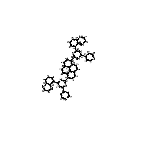 c1cc(-c2nc(-c3ccncc3)nc(-c3ccc4ccc5c(-c6nc(-c7ccncc7)nc(-c7cccc8nccnc78)n6)ccc6ccc3c4c65)n2)c2nccnc2c1